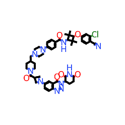 CC1(C)C(NC(=O)c2ccc(N3CCN(CC4CCN(C(=O)C5CN(c6ccc7nnn(C8CCC(=O)NC8=O)c(=O)c7c6)C5)CC4)CC3)cc2)C(C)(C)C1Oc1ccc(C#N)c(Cl)c1